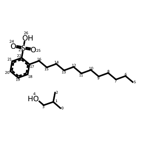 CC(C)CO.CCCCCCCCCCCCc1ccccc1S(=O)(=O)O